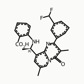 Cc1cc([C@@H](C)Nc2ccccc2C(=O)O)c2nc(-c3cccc(C(F)F)c3)c(C)c(=O)n2c1